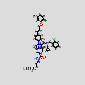 CCOC(=O)CCCNC(=O)N1C[C@H]2CC(c3ccc(CCCOc4c(F)ccc(F)c4F)cc3)=C(C(=O)N(Cc3ccccc3Cl)C3CC3)[C@@H](C1)N2